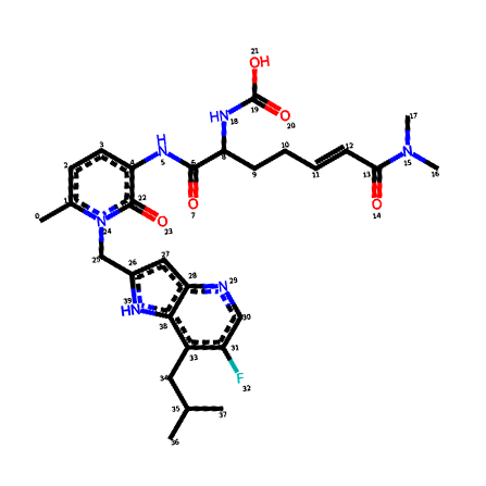 Cc1ccc(NC(=O)C(CC/C=C/C(=O)N(C)C)NC(=O)O)c(=O)n1Cc1cc2ncc(F)c(CC(C)C)c2[nH]1